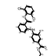 C=C(Oc1c(Cl)cccc1Cl)c1ccccc1Nc1ccc(C(=O)OCC)cc1F